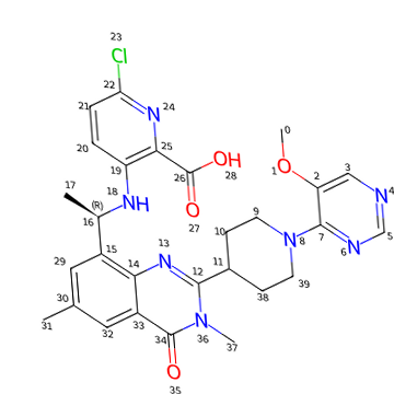 COc1cncnc1N1CCC(c2nc3c([C@@H](C)Nc4ccc(Cl)nc4C(=O)O)cc(C)cc3c(=O)n2C)CC1